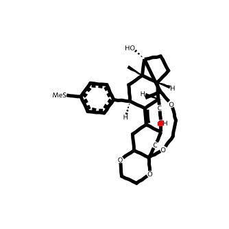 CSc1ccc([C@H]2C[C@@]3(C)[C@@H]4CC[C@@]3(O)C(C)OCCOC35C[C@@]6(O)CC[C@@H]4C2=C6CC3OCCO5)cc1